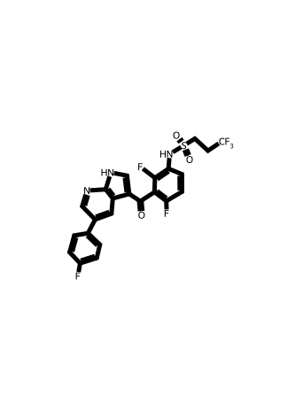 O=C(c1c(F)ccc(NS(=O)(=O)CCC(F)(F)F)c1F)c1c[nH]c2ncc(-c3ccc(F)cc3)cc12